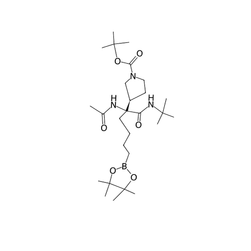 CC(=O)NC(CCCCB1OC(C)(C)C(C)(C)O1)(C(=O)NC(C)(C)C)[C@@H]1CCN(C(=O)OC(C)(C)C)C1